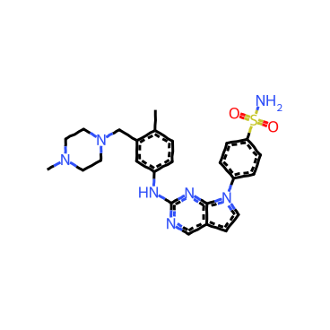 Cc1ccc(Nc2ncc3ccn(-c4ccc(S(N)(=O)=O)cc4)c3n2)cc1CN1CCN(C)CC1